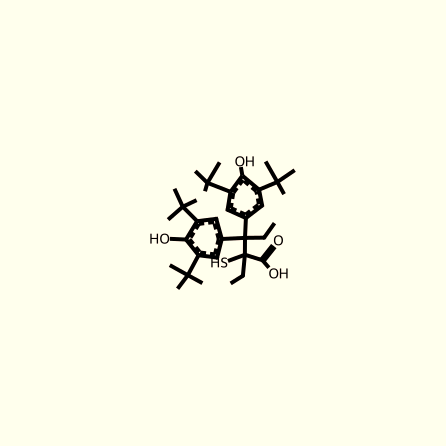 CCC(S)(C(=O)O)C(CC)(c1cc(C(C)(C)C)c(O)c(C(C)(C)C)c1)c1cc(C(C)(C)C)c(O)c(C(C)(C)C)c1